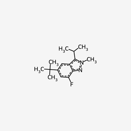 CC(C)c1c2cc(C(C)(C)C)cc(F)c2nn1C